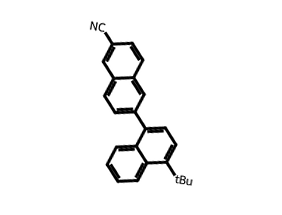 CC(C)(C)c1ccc(-c2ccc3cc(C#N)ccc3c2)c2ccccc12